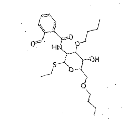 CCCCOCC1OC(SCC)C(NC(=O)c2ccccc2C=O)C(OCCCC)C1O